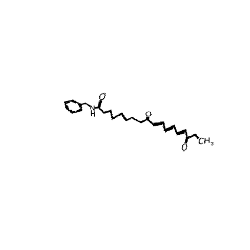 CCC(=O)/C=C/C=C/C=C/C(=O)CCCCCCCC(=O)NCc1ccccc1